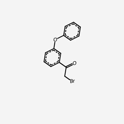 O=C(CBr)c1cccc(Oc2ccccc2)c1